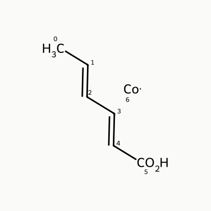 CC=CC=CC(=O)O.[Co]